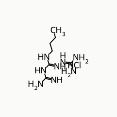 CCCCNC(=N)NC(=N)N.Cl.N=C(N)N